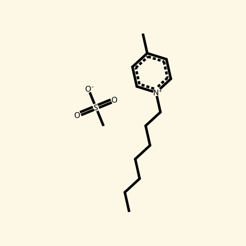 CCCCCCC[n+]1ccc(C)cc1.CS(=O)(=O)[O-]